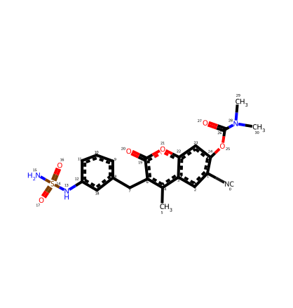 [C-]#[N+]c1cc2c(C)c(Cc3cccc(NS(N)(=O)=O)c3)c(=O)oc2cc1OC(=O)N(C)C